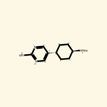 CCCCCC[C@H]1CC[C@H](c2cnc(CCC)nc2)CC1